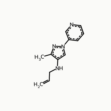 C=CCNc1cn(-c2cccnc2)nc1C